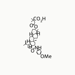 C=C(C)[C@@H]1CC[C@]2(C(=O)Nc3ccc(OC)cc3)CC[C@]3(C)[C@H](CC[C@@H]4[C@@]5(C)CC[C@H](OC(=O)CC(C)(C)C(=O)O)C(C)(C)[C@@H]5CC[C@]43C)[C@@H]12